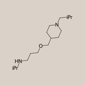 CC(C)CN1CCC(COCCCNC(C)C)CC1